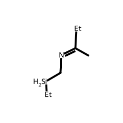 CC[SiH2]CN=C(C)CC